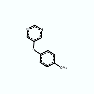 COc1ccc(Oc2cncnc2)cc1